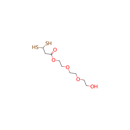 O=C(CC(S)S)OCCOCCOCCO